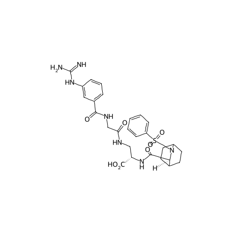 N=C(N)Nc1cccc(C(=O)NCC(=O)NC[C@H](NC(=O)[C@@H]2C3CCC(CC3)N2S(=O)(=O)c2ccccc2)C(=O)O)c1